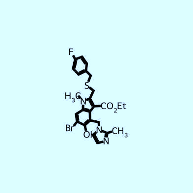 CCOC(=O)c1c(CSCc2ccc(F)cc2)n(C)c2cc(Br)c(O)c(Cn3ccnc3C)c12